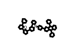 c1ccc(-c2c3ccccc3c(-c3ccccc3)c3cc(-c4ccc(-n5c6ccccc6c6cc(-c7cccc8c7oc7c(-c9ccccc9)cccc78)ccc65)cc4)ccc23)cc1